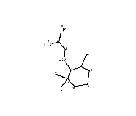 CCCC(O)COC1C(C)CCCC1(C)C